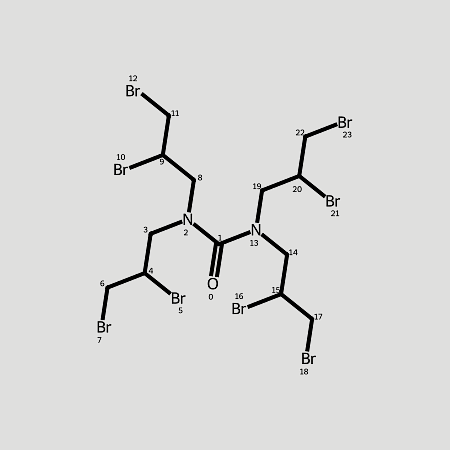 O=C(N(CC(Br)CBr)CC(Br)CBr)N(CC(Br)CBr)CC(Br)CBr